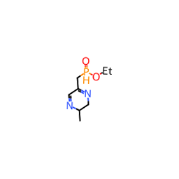 CCO[PH](=O)CC1=NCC(C)N=C1